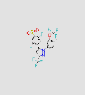 Cc1ccc(-n2nc(C(F)(F)F)cc2-c2cc(F)c(S(C)(=O)=O)cc2F)cc1OC(F)(F)F